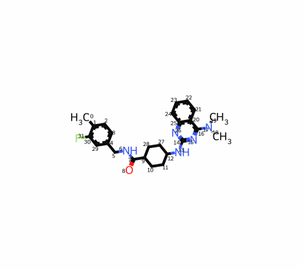 Cc1ccc(CNC(=O)C2CCC(Nc3nc(N(C)C)c4ccccc4n3)CC2)cc1F